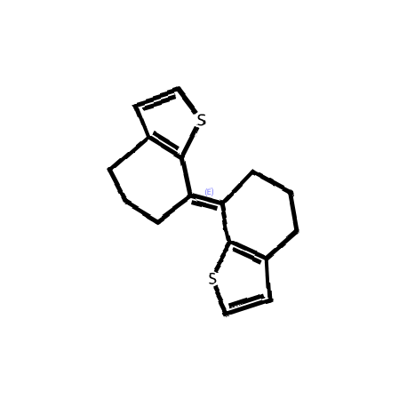 c1cc2c(s1)/C(=C1\CCCc3ccsc31)CCC2